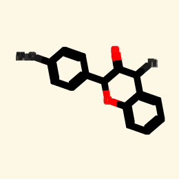 CCC1C(=O)C(c2ccc(OC)cc2)Oc2ccccc21